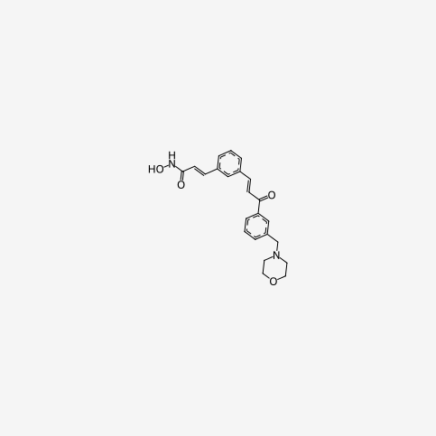 O=C(/C=C/c1cccc(/C=C/C(=O)c2cccc(CN3CCOCC3)c2)c1)NO